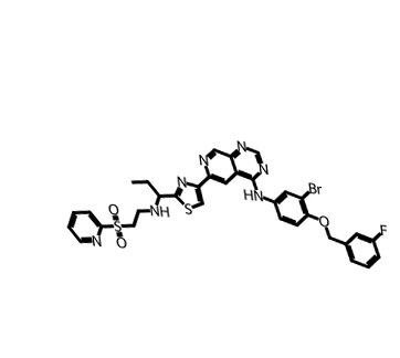 CCC(NCCS(=O)(=O)c1ccccn1)c1nc(-c2cc3c(Nc4ccc(OCc5cccc(F)c5)c(Br)c4)ncnc3cn2)cs1